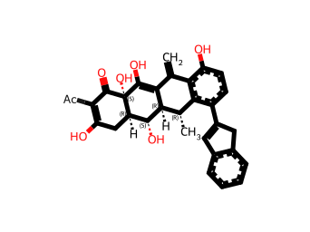 C=C1C2=C(O)[C@]3(O)C(=O)C(C(C)=O)=C(O)C[C@@H]3[C@@H](O)[C@@H]2[C@@H](C)c2c(C3=Cc4ccccc4C3)ccc(O)c21